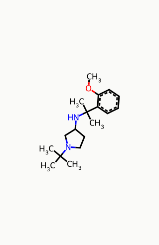 COc1ccccc1C(C)(C)NC1CCN(C(C)(C)C)C1